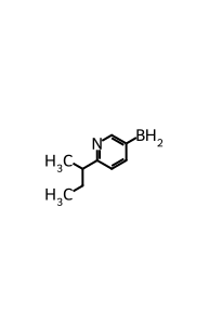 Bc1ccc(C(C)CC)nc1